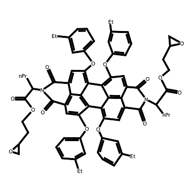 CCCC(C(=O)OCCC1CO1)N1C(=O)c2cc(Oc3cccc(CC)c3)c3c4c(Oc5cccc(CC)c5)cc5c6c(cc(Oc7cccc(CC)c7)c(c7c(Oc8cccc(CC)c8)cc(c2c37)C1=O)c64)C(=O)N(C(CCC)C(=O)OCCC1CO1)C5=O